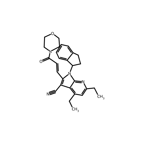 CCc1cc(CC)c2c(C#N)c(C=CC(=O)N3CCOCC3)n(C3CCc4ccccc43)c2n1